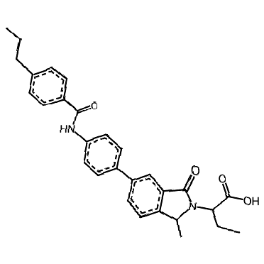 CCCc1ccc(C(=O)Nc2ccc(-c3ccc4c(c3)C(=O)N(C(CC)C(=O)O)C4C)cc2)cc1